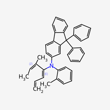 C=C/C=C(\C(C)=C/C)N(c1ccc2c(c1)C(c1ccccc1)(c1ccccc1)c1ccccc1-2)c1ccccc1C